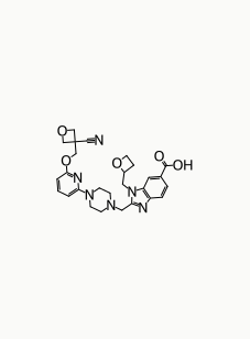 N#CC1(COc2cccc(N3CCN(Cc4nc5ccc(C(=O)O)cc5n4CC4CCO4)CC3)n2)COC1